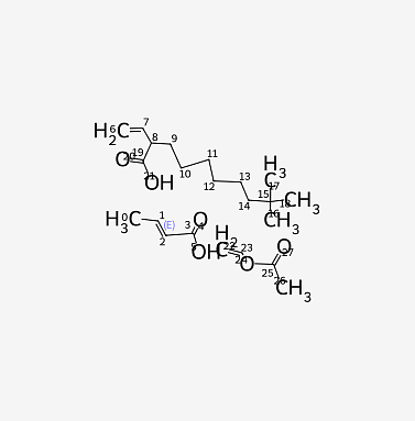 C/C=C/C(=O)O.C=CC(CCCCCCC(C)(C)C)C(=O)O.C=COC(C)=O